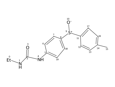 CCNC(=O)Nc1ccc([S+]([O-])c2ccc(C)cc2)cc1